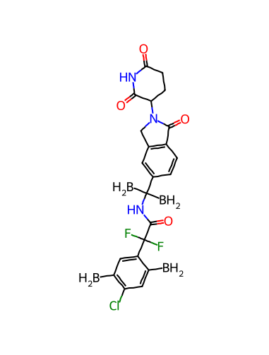 Bc1cc(C(F)(F)C(=O)NC(B)(B)c2ccc3c(c2)CN(C2CCC(=O)NC2=O)C3=O)c(B)cc1Cl